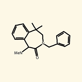 CNC1C(=O)N(Cc2ccccc2)CC(C)(C)c2ccccc21